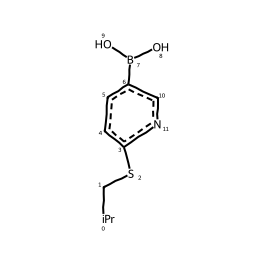 CC(C)CSc1ccc(B(O)O)cn1